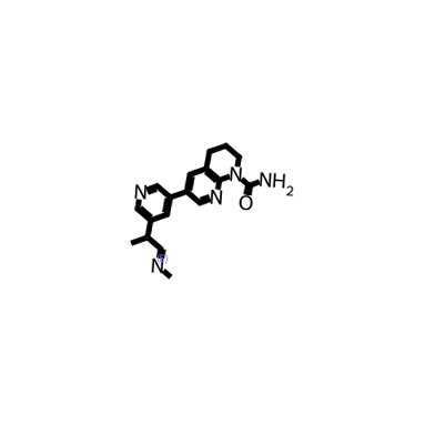 C/N=C/C(C)c1cncc(-c2cnc3c(c2)CCCN3C(N)=O)c1